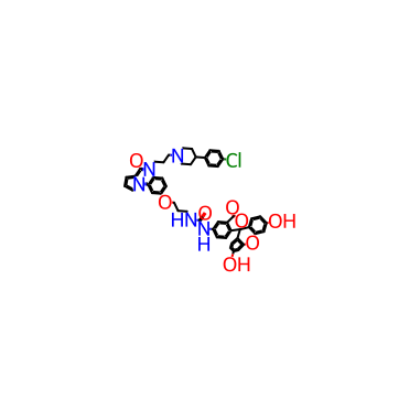 O=C(NCCCOc1ccc2c(c1)n1cccc1c(=O)n2CCCN1CCC(c2ccc(Cl)cc2)CC1)Nc1ccc2c(c1)C(=O)OC21c2ccc(O)cc2Oc2cc(O)ccc21